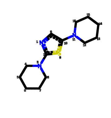 c1nc(N2CCCCC2)sc1N1CCCCC1